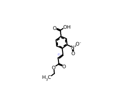 CCOC(=O)/C=C/c1ccc(C(=O)O)cc1[N+](=O)[O-]